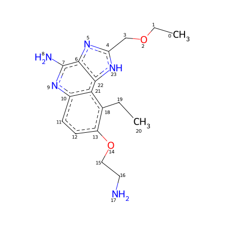 CCOCc1nc2c(N)nc3ccc(OCCN)c(CC)c3c2[nH]1